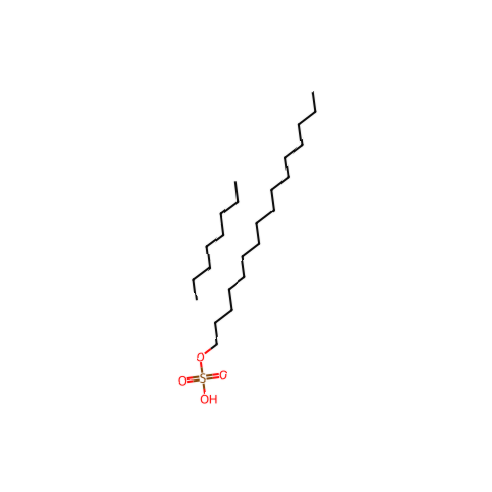 CCCCCCCC.CCCCCCCCCCCCCCCCOS(=O)(=O)O